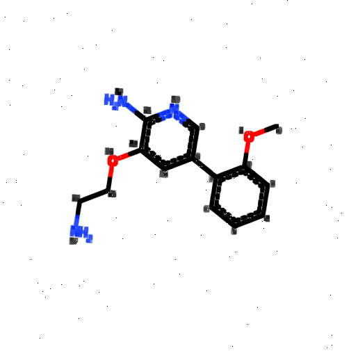 COc1ccccc1-c1cnc(N)c(OCCN)c1